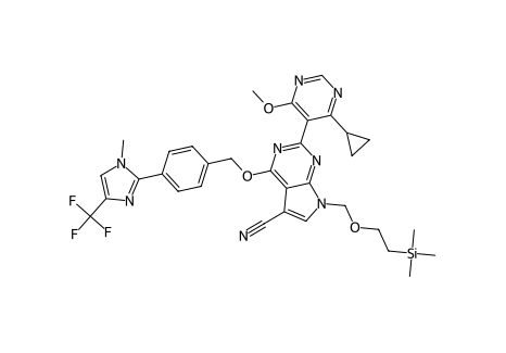 COc1ncnc(C2CC2)c1-c1nc(OCc2ccc(-c3nc(C(F)(F)F)cn3C)cc2)c2c(C#N)cn(COCC[Si](C)(C)C)c2n1